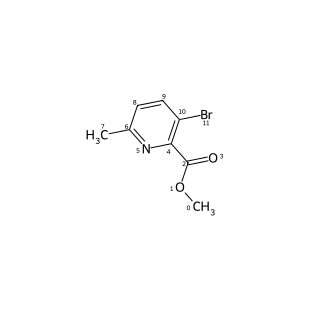 COC(=O)c1nc(C)ccc1Br